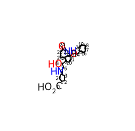 O=C(O)[C@@H]1CC[C@H](NC[C@H](O)c2ccc(OCc3ccccc3)c3[nH]c(=O)ccc23)C1